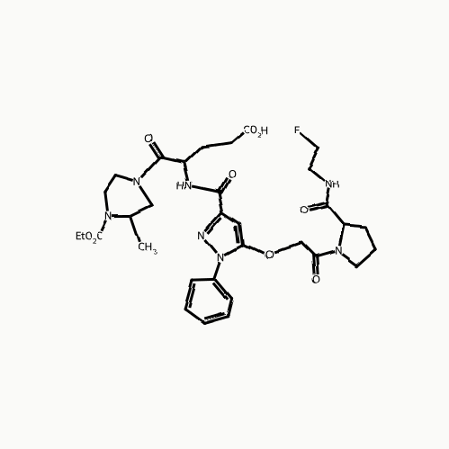 CCOC(=O)N1CCN(C(=O)C(CCC(=O)O)NC(=O)c2cc(OCC(=O)N3CCCC3C(=O)NCCF)n(-c3ccccc3)n2)CC1C